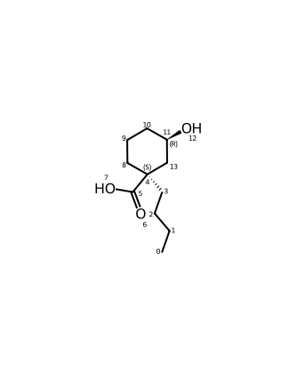 CCCC[C@]1(C(=O)O)CCC[C@@H](O)C1